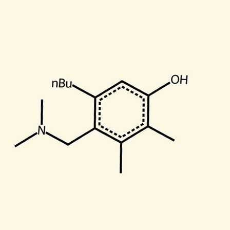 CCCCc1cc(O)c(C)c(C)c1CN(C)C